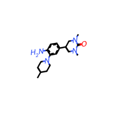 CC1CCN(c2cc(C3CN(C)C(=O)N(C)C3)ccc2N)CC1